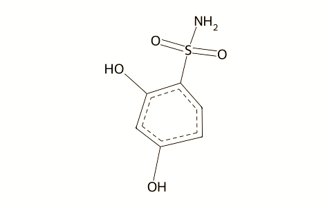 NS(=O)(=O)c1ccc(O)cc1O